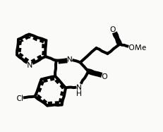 COC(=O)CCC1N=C(c2ccccn2)c2cc(Cl)ccc2NC1=O